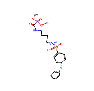 CC(C)OP(=O)(OC(C)C)C(=O)NCCCCNS(=O)(=O)c1ccc(Oc2ccccc2)cc1